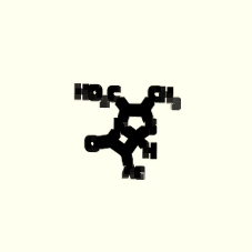 CC(=O)C1C(=O)N2C(C(=O)O)=C(C)S[C@H]12